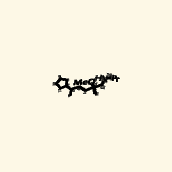 COC(C)(CCC(C)C1CCCC1)CNC(C)C